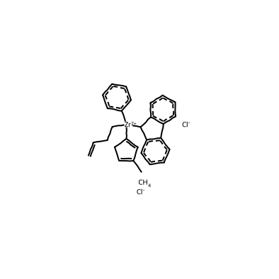 C.C=CC[CH2][Zr+2]([C]1=CC(C)=CC1)([c]1ccccc1)[CH]1c2ccccc2-c2ccccc21.[Cl-].[Cl-]